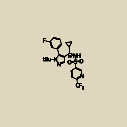 CC(C)(C)n1ncc([C@H](NS(=O)(=O)c2ccc(C(F)(F)F)nc2)C2CC2)c1-c1cccc(F)c1